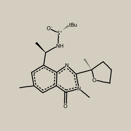 Cc1cc([C@@H](C)N[S@+]([O-])C(C)(C)C)c2nc([C@@]3(C)CCCO3)n(C)c(=O)c2c1